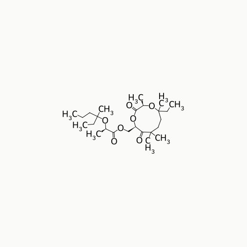 CCCC(C)(CC)O[C@H](C)C(=O)OC[C@H]1OC(=O)[C@@H](C)OC(C)(CC)CCC(C)(C)C1=O